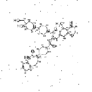 Cc1cc(C[C@@H](OC(=O)N2CCC(N3CCc4ccccc4NC3=O)CC2)C(=O)N2CCC(N3CCC(O)(CO)CC3)CC2)cc2c1NCCO2